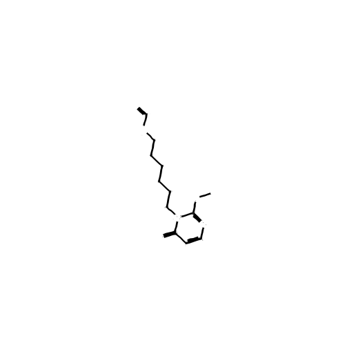 CSc1nccc(=O)n1CCCCCCOC=O